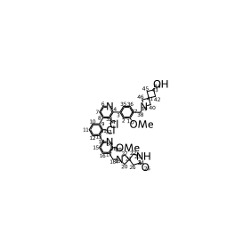 COc1cc(-c2nccc(-c3cccc(-c4ccc(CN5CC6(CNC(=O)C6)C5)c(OC)n4)c3Cl)c2Cl)ccc1CN1CC2(CC(O)C2)C1